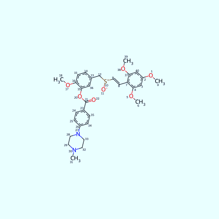 COc1cc(OC)c(C=C[S+]([O-])Cc2ccc(OC)c(OC(=O)c3ccc(N4CCN(C)CC4)cc3)c2)c(OC)c1